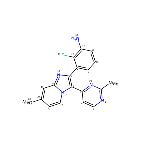 CNc1nccc(-c2c(-c3cccc(N)c3F)nc3cc(OC)ccn23)n1